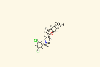 C[C@@H](c1cc(Cl)cc(Cl)c1)N1CCC(COc2ccc(C(=O)O)cc2C2CC2)CC1